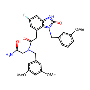 COc1cccc(Cn2c(=O)[nH]c3cc(F)cc(CC(=O)N(CC(N)=O)Cc4cc(OC)cc(OC)c4)c32)c1